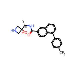 C[C@H](NC(=O)c1ccc2c(-c3ccc(C(F)(F)F)cc3)cccc2c1)C1(O)CNC1